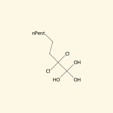 CCCCCCCC(Cl)(Cl)C(O)(O)O